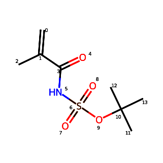 C=C(C)C(=O)NS(=O)(=O)OC(C)(C)C